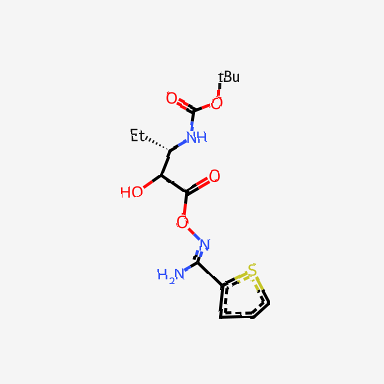 CC[C@H](NC(=O)OC(C)(C)C)C(O)C(=O)O/N=C(\N)c1cccs1